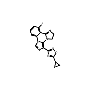 Fc1cccc2c1C1=NCCN1c1c(-c3noc(C4CC4)n3)ncn1-2